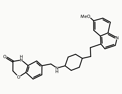 COc1ccc2nccc(CCC3CCC(NCc4ccc5c(c4)NC(=O)CO5)CC3)c2c1